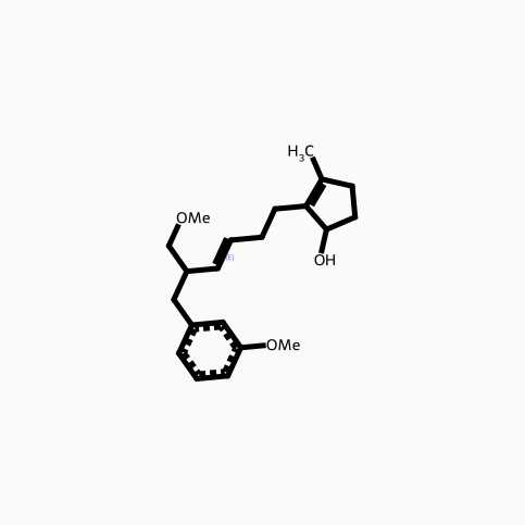 COCC(/C=C/CCC1=C(C)CCC1O)Cc1cccc(OC)c1